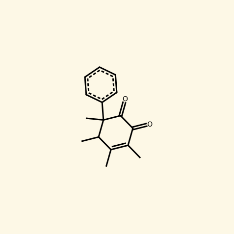 CC1=C(C)C(C)C(C)(c2ccccc2)C(=O)C1=O